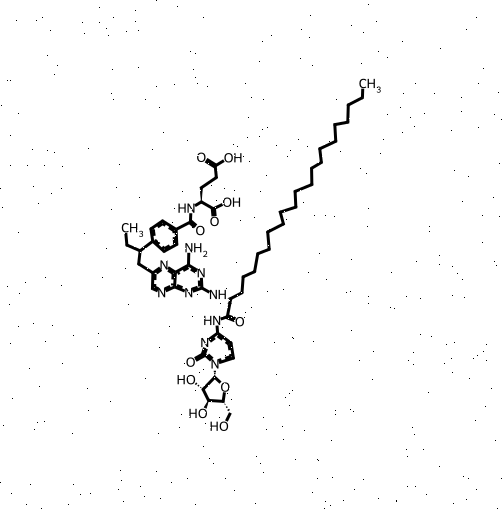 CCC(Cc1cnc2nc(N)nc(N)c2n1)c1ccc(C(=O)N[C@@H](CCC(=O)O)C(=O)O)cc1.CCCCCCCCCCCCCCCCCCCCCC(=O)Nc1ccn([C@@H]2O[C@H](CO)[C@@H](O)[C@@H]2O)c(=O)n1